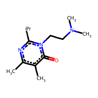 Cc1nc(C(C)C)n(CCN(C)C)c(=O)c1C